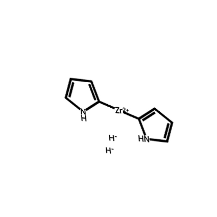 [H-].[H-].c1c[nH][c]([Zr+2][c]2ccc[nH]2)c1